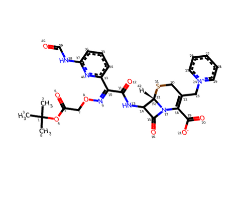 CC(C)(C)OC(=O)CON=C(C(=O)NC1C(=O)N2C(C(=O)[O-])=C(C[n+]3ccccc3)CS[C@@H]12)c1cccc(NC=O)n1